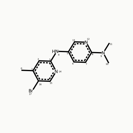 Cc1cc(Nc2ccc(N(C)C)nc2)ncc1Br